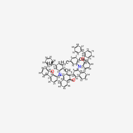 Cc1ccc(C)c(N(c2cc3c4cc(N(c5cc(C)ccc5C)c5cccc6c5oc5c(-c7ccccc7)cccc56)c5ccccc5c4oc3c3ccccc23)c2cccc3c2oc2c(-c4ccccc4)cccc23)c1